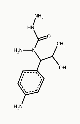 CC(O)C(c1ccc(N)cc1)N(N)C(=O)NN